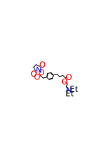 CCN(CC)CCOC(=O)CCCc1ccc(CC(=O)ON2C(=O)CCC2=O)cc1